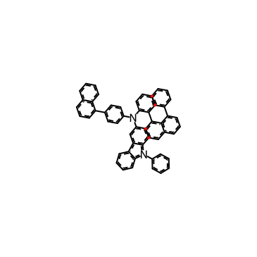 c1ccc(-c2cccc3cccc(-c4ccccc4N(c4ccc(-c5cccc6ccccc56)cc4)c4ccc5c(c4)c4ccccc4n5-c4ccccc4)c23)cc1